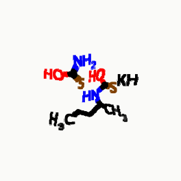 CCCC(C)NC(O)=S.NC(O)=S.[KH]